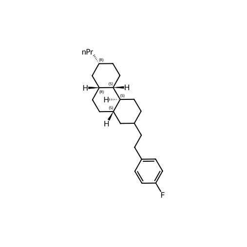 CCC[C@@H]1CC[C@H]2[C@H](CC[C@H]3CC(CCc4ccc(F)cc4)CC[C@@H]32)C1